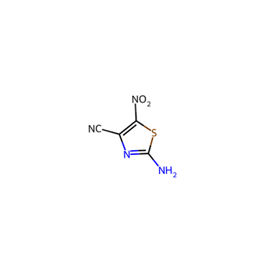 N#Cc1nc(N)sc1[N+](=O)[O-]